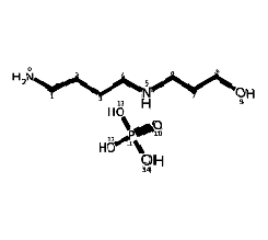 NCCCCNCCCO.O=P(O)(O)O